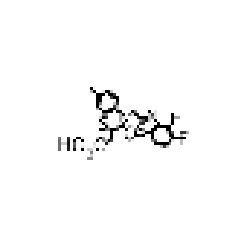 Cc1ccc2c(c1)SC(CC(=O)O)C(=O)N2Cc1nc2c(F)c(F)ccc2s1